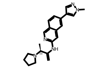 C=C(Nc1cc2cc(-c3cnn(C)c3)ccc2cn1)[C@H](C)N1CCCC1